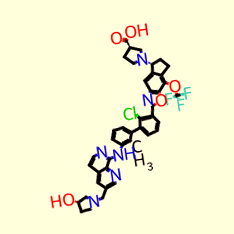 Cc1c(Nc2nccc3cc(CN4CC[C@@H](O)C4)cnc23)cccc1-c1cccc(-c2nc3cc4c(c(OC(F)(F)F)c3o2)CC[C@H]4N2CC[C@@H](C(=O)O)C2)c1Cl